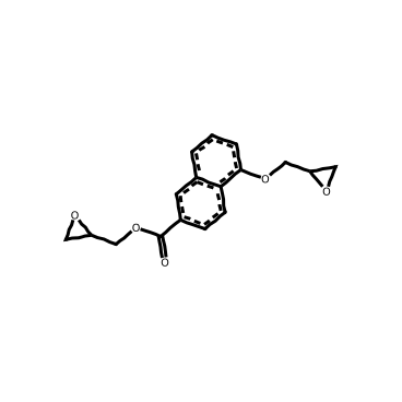 O=C(OCC1CO1)c1ccc2c(OCC3CO3)cccc2c1